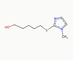 Cn1ccnc1SCCCCCO